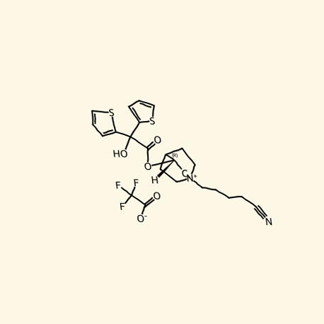 N#CCCCC[N+]12CCC(CC1)[C@@H](OC(=O)C(O)(c1cccs1)c1cccs1)C2.O=C([O-])C(F)(F)F